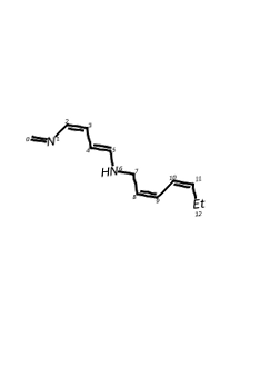 C=N/C=C\C=C\NC/C=C\C=C/CC